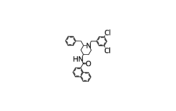 O=C(NC1CCN(Cc2cc(Cl)cc(Cl)c2)C(Cc2ccccc2)C1)c1cccc2ccccc12